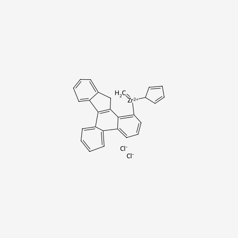 [CH2]=[Zr+2]([c]1cccc2c1c1c(c3ccccc32)-c2ccccc2C1)[CH]1C=CC=C1.[Cl-].[Cl-]